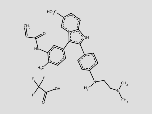 C=CC(=O)Nc1cc(-c2c(-c3ccc(N(C)CCN(C)C)cc3)[nH]c3ncc(C(=O)O)cc23)ccc1C.O=C(O)C(F)(F)F